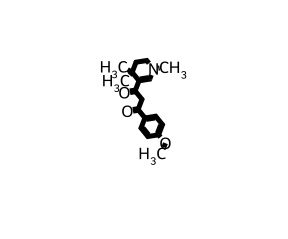 COc1ccc(C(=O)CC(=O)C2=CN(C)CCC2(C)C)cc1